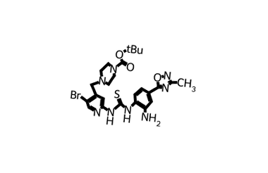 Cc1noc(-c2ccc(NC(=S)Nc3cc(CN4CCN(C(=O)OC(C)(C)C)CC4)c(Br)cn3)c(N)c2)n1